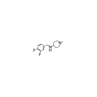 CN1CCC(NCc2ccc(F)c(F)c2)CC1